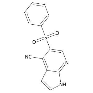 N#Cc1c(S(=O)(=O)c2ccccc2)cnc2[nH]ccc12